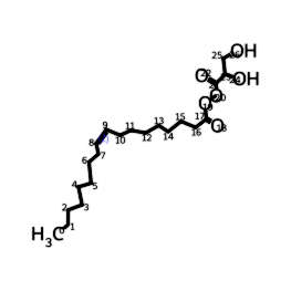 CCCCCCCC/C=C\CCCCCCCC(=O)OOC(=O)C(O)CO